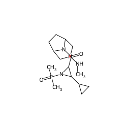 CNN1CC2CCC(C1)N2C(=O)C1C(C2CC2)N1P(C)(C)=O